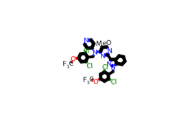 COc1cnc(-c2nn(Cc3c(Cl)cc(OC(F)(F)F)cc3Cl)c3ccccc23)nc1N(Cc1c(Cl)cc(OC(F)(F)F)cc1Cl)c1ccncc1